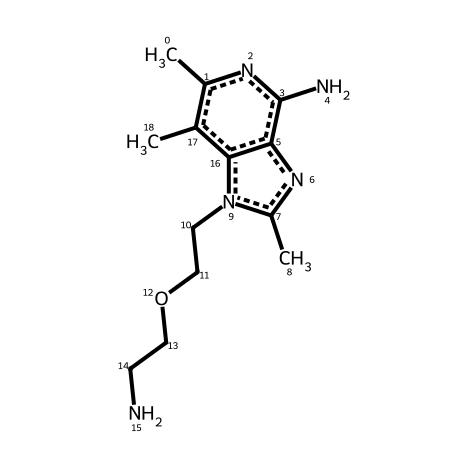 Cc1nc(N)c2nc(C)n(CCOCCN)c2c1C